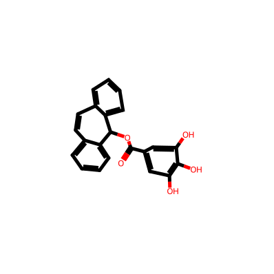 O=C(OC1c2ccccc2C=Cc2ccccc21)c1cc(O)c(O)c(O)c1